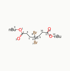 CCCCOC(=O)C[CH2][Sn]([Br])([Br])[CH2]CC(=O)OCCCC